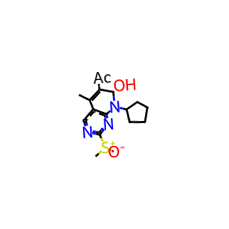 CC(=O)C1=C(C)c2cnc([S+](C)[O-])nc2N(C2CCCC2)C1O